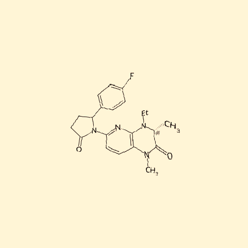 CCN1c2nc(N3C(=O)CCC3c3ccc(F)cc3)ccc2N(C)C(=O)[C@H]1C